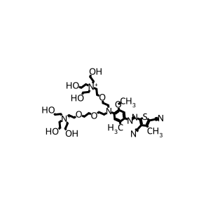 COc1cc(/N=N/c2sc(C#N)c(C)c2C#N)c(C)cc1N(CCOCCOCC[N+](CCO)(CCO)CCO)CCOCC[N+](CCO)(CCO)CCO